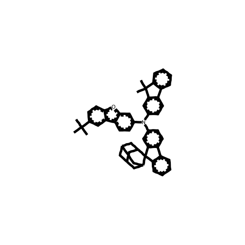 CC(C)(C)c1ccc2oc3cc(N(c4ccc5c(c4)C(C)(C)c4ccccc4-5)c4ccc5c(c4)C4(c6ccccc6-5)C5CC6CC(C5)CC4C6)ccc3c2c1